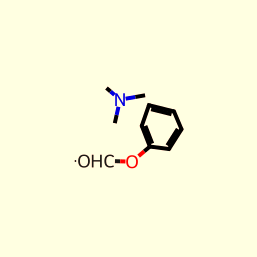 CN(C)C.O=[C]Oc1ccccc1